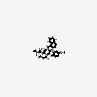 CCNC(=O)N1[C@H]2[C@H](C)N(Cc3cccc4ccccc34)C(=O)[C@H](Cc3ccc(O)cc3)N2C(=O)CN1C